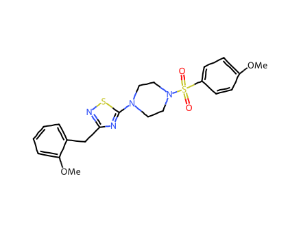 COc1ccc(S(=O)(=O)N2CCN(c3nc(Cc4ccccc4OC)ns3)CC2)cc1